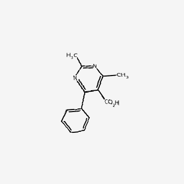 Cc1nc(C)c(C(=O)O)c(-c2ccccc2)n1